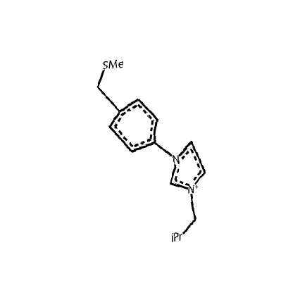 CSCc1ccc(-n2cc[n+](CC(C)C)c2)cc1